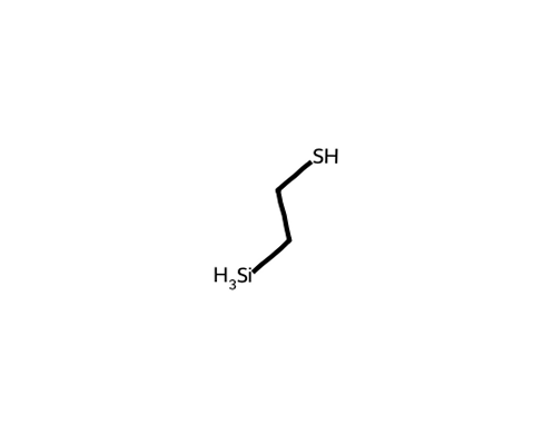 [SiH3]CCS